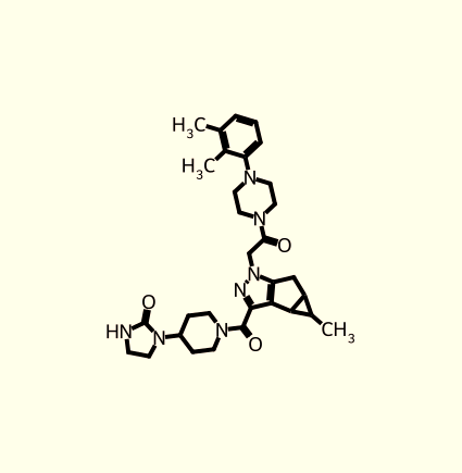 Cc1cccc(N2CCN(C(=O)Cn3nc(C(=O)N4CCC(N5CCNC5=O)CC4)c4c3CC3C(C)C43)CC2)c1C